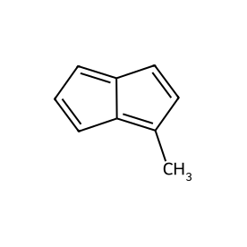 CC1=C2C=CC=C2C=C1